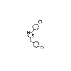 COc1ccc(/C=C2/C=NC(c3ccc(Cl)cc3)S2)cc1